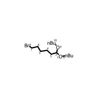 CCCCOC(CCCCCBr)OCCCC